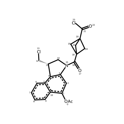 CC(=O)Oc1cc2c(c3ccccc13)[C@H](CCl)CN2C(=O)C12CC(C(=O)Cl)(C1)C2